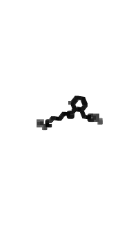 CCCCOc1[c]cccc1CC